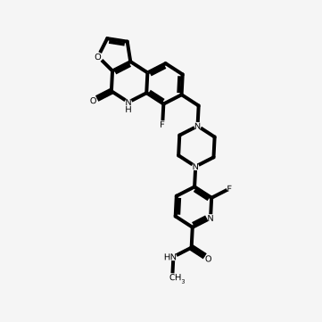 CNC(=O)c1ccc(N2CCN(Cc3ccc4c([nH]c(=O)c5occc54)c3F)CC2)c(F)n1